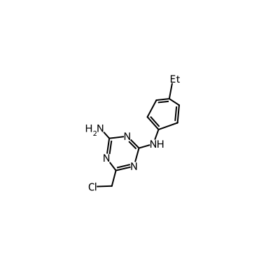 CCc1ccc(Nc2nc(N)nc(CCl)n2)cc1